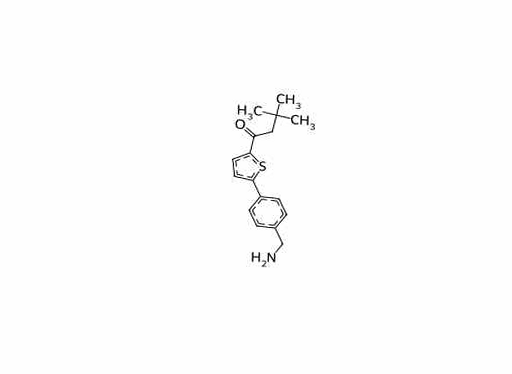 CC(C)(C)CC(=O)c1ccc(-c2ccc(CN)cc2)s1